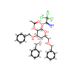 CC(=O)OC1[C@@H](OC(=N)C(Cl)(Cl)Cl)OC(COCc2ccccc2)[C@H](OCc2ccccc2)[C@H]1OCc1ccccc1